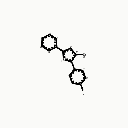 Clc1ccc(-c2sc(-c3ccccc3)cc2Br)cc1